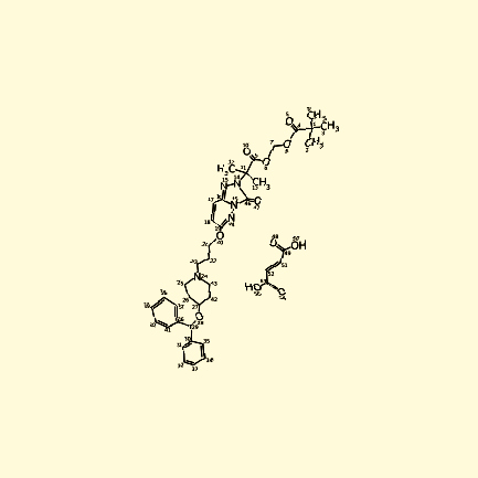 CC(C)(C)C(=O)OCOC(=O)C(C)(C)n1nc2ccc(OCCCN3CCC(OC(c4ccccc4)c4ccccc4)CC3)nn2c1=O.O=C(O)/C=C/C(=O)O